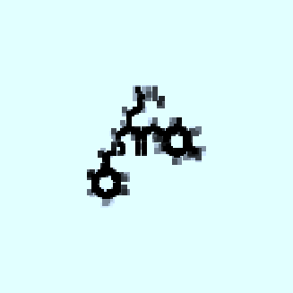 NCCC(COCc1ccccc1)NCc1ccc(F)cc1